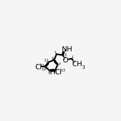 CCOC(=N)Cc1cccc(Cl)c1.Cl